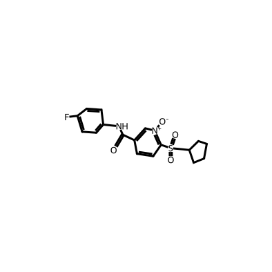 O=C(Nc1ccc(F)cc1)c1ccc(S(=O)(=O)C2CCCC2)[n+]([O-])c1